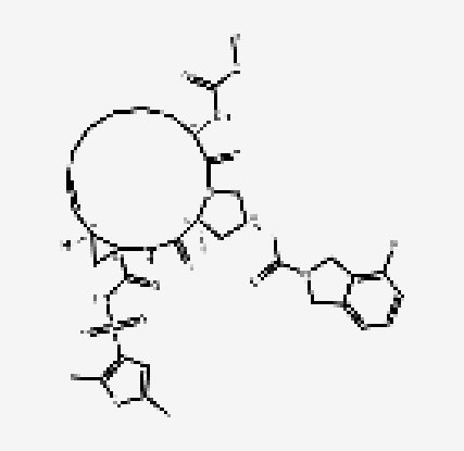 Cc1cc(S(=O)(=O)NC(=O)[C@@]23C[C@H]2C=CCCCCC[C@H](NC(=O)OC(C)(C)C)C(=O)N2C[C@H](OC(=O)N4Cc5cccc(F)c5C4)C[C@H]2C(=O)N3)c(C)s1